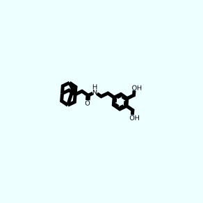 O=C(CC12CC3CC(CC(C3)C1)C2)NCCc1ccc(CO)c(CO)c1